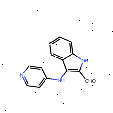 O=Cc1[nH]c2ccccc2c1Nc1ccncc1